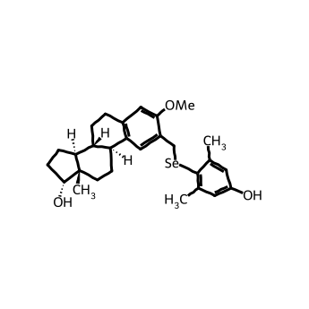 COc1cc2c(cc1C[Se]c1c(C)cc(O)cc1C)[C@H]1CC[C@]3(C)[C@H](O)CC[C@H]3[C@@H]1CC2